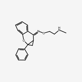 CNCCON=C1c2ccccc2OC2(c3ccccc3)CC12